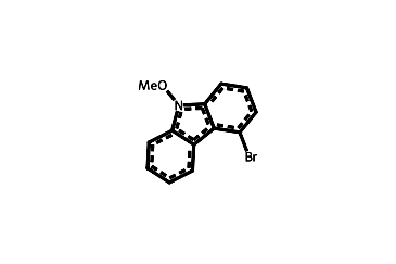 COn1c2ccccc2c2c(Br)cccc21